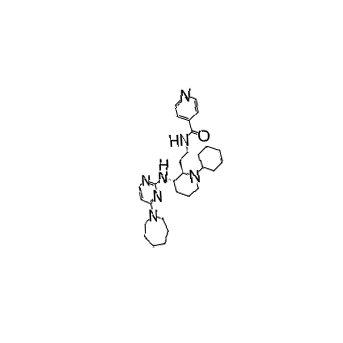 O=C(NCC[C@@H]1[C@@H](Nc2nccc(N3CCCCCC3)n2)CCCN1C1CCCCC1)c1ccncc1